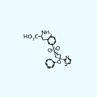 N[C@@H](Cc1cccc(S(=O)(=O)N2CC(Oc3ccccc3)(c3nccs3)C2)c1)C(=O)O